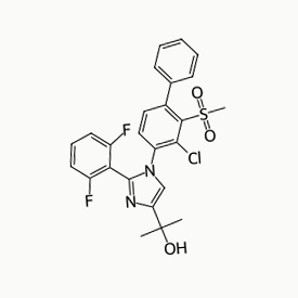 CC(C)(O)c1cn(-c2ccc(-c3ccccc3)c(S(C)(=O)=O)c2Cl)c(-c2c(F)cccc2F)n1